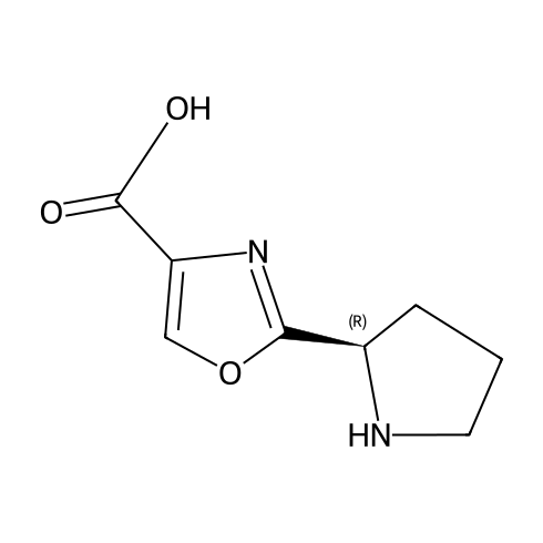 O=C(O)c1coc([C@H]2CCCN2)n1